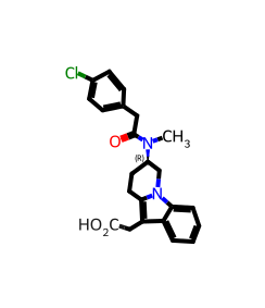 CN(C(=O)Cc1ccc(Cl)cc1)[C@@H]1CCc2c(CC(=O)O)c3ccccc3n2C1